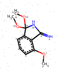 COc1cccc2c1C(=N)NC2(OC)OC